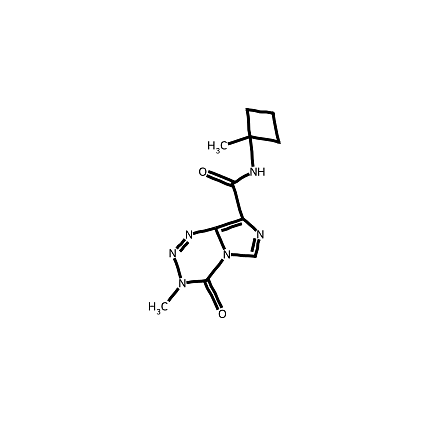 Cn1nnc2c(C(=O)NC3(C)CCC3)ncn2c1=O